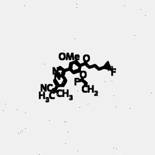 C=CC(F)Oc1cc(-c2cnn3cc(C(C)(C)C#N)ccc23)cc(OC)c1C(=O)CCCC1C[C@@H]1F